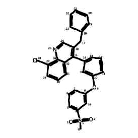 CS(=O)(=O)c1cccc(Oc2cccc(-c3c(Cc4ccccc4)cnc4c(Cl)cccc34)c2)c1